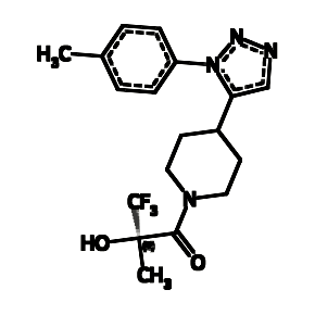 Cc1ccc(-n2nncc2C2CCN(C(=O)[C@@](C)(O)C(F)(F)F)CC2)cc1